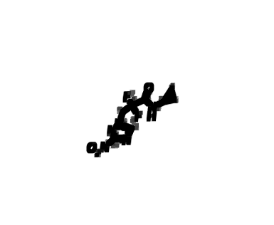 O=C(NC1CC1)C(F)(F)Cn1cnc([N+](=O)[O-])n1